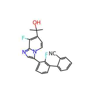 CC(C)(O)c1ccn2c(-c3cccc(-c4ccccc4C#N)c3F)cnc2c1F